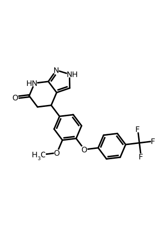 COc1cc(C2CC(=O)Nc3n[nH]cc32)ccc1Oc1ccc(C(F)(F)F)cc1